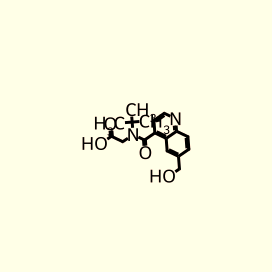 CC(C)(C)N(CC(=O)O)C(=O)c1ccnc2ccc(CO)cc12